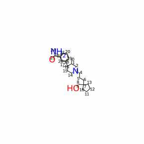 CC1CN(CCCC2(CO)CCCC2)CCC1(C)c1cccc(C(N)=O)c1